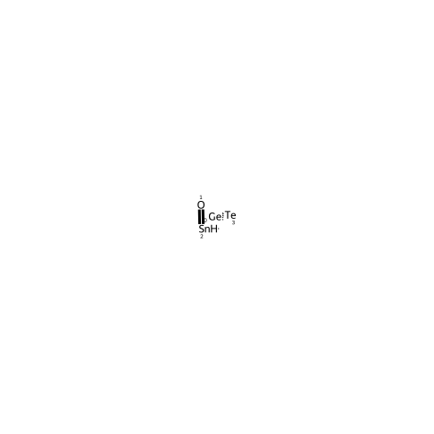 [Ge].[O]=[SnH].[Te]